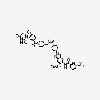 C=C([C@H]1CC[C@H](n2cc3cc(NC(=O)c4cccc(C(F)(F)F)n4)c(OC)cc3n2)CC1)N(C)CC1CCN(C(=O)c2ccc(Cl)c(N3CCC(=O)NC3=O)c2)CC1